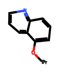 CC(C)Oc1cc[c]c2ncccc12